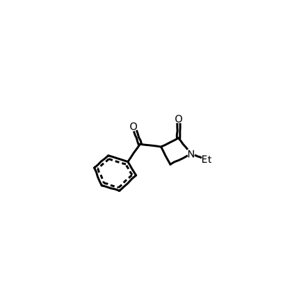 CCN1CC(C(=O)c2ccccc2)C1=O